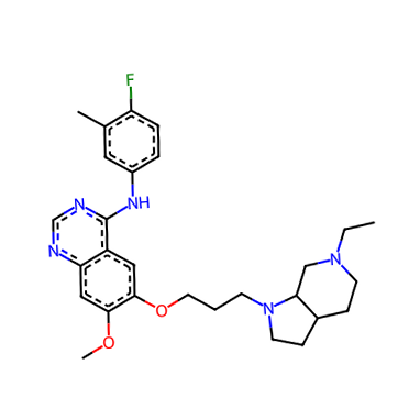 CCN1CCC2CCN(CCCOc3cc4c(Nc5ccc(F)c(C)c5)ncnc4cc3OC)C2C1